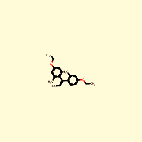 CC=C(c1ccc(OCC)cc1C)c1ccc(OCC)cc1C